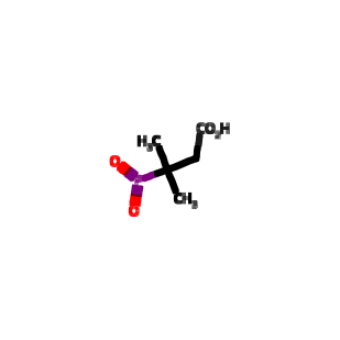 CC(C)(CC(=O)O)P(=O)=O